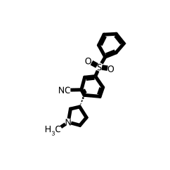 CN1CC[C@@H](c2ccc(S(=O)(=O)c3ccccc3)cc2C#N)C1